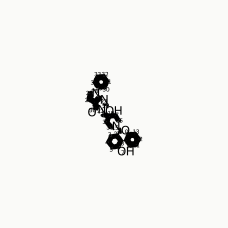 O=C([C@@H]1CCC[C@@H](O)[C@H]1c1ccccc1)N1CCC(O)(Cn2cnc3c(ccn3-c3ccccc3)c2=O)CC1